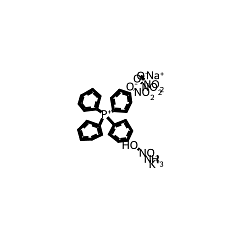 N.O=[N+]([O-])O.O=[N+]([O-])[O-].O=[N+]([O-])[O-].O=[N+]([O-])[O-].[K+].[Na+].c1ccc([P+](c2ccccc2)(c2ccccc2)c2ccccc2)cc1